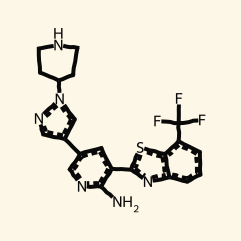 Nc1ncc(-c2cnn(C3CCNCC3)c2)cc1-c1nc2cccc(C(F)(F)F)c2s1